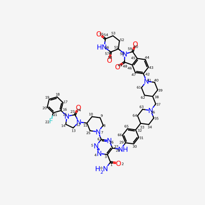 NC(=O)c1nnc(N2CCCC(N3CCN(c4ccccc4F)C3=O)C2)nc1Nc1ccc(C2CCN(CC3CCN(c4ccc5c(c4)C(=O)N(C4CCC(=O)NC4=O)C5=O)CC3)CC2)cc1